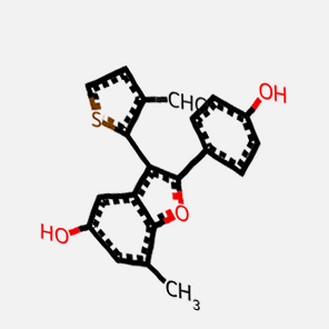 Cc1cc(O)cc2c(-c3sccc3C=O)c(-c3ccc(O)cc3)oc12